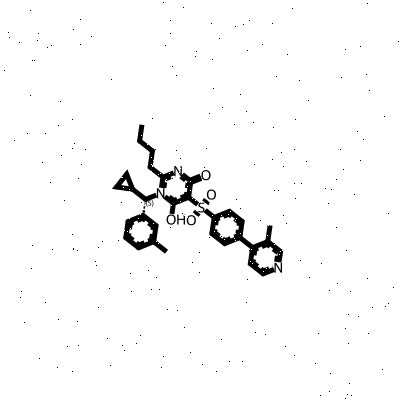 CCCCc1nc(=O)c(S(=O)(=O)c2ccc(-c3ccncc3C)cc2)c(O)n1[C@H](c1cccc(C)c1)C1CC1